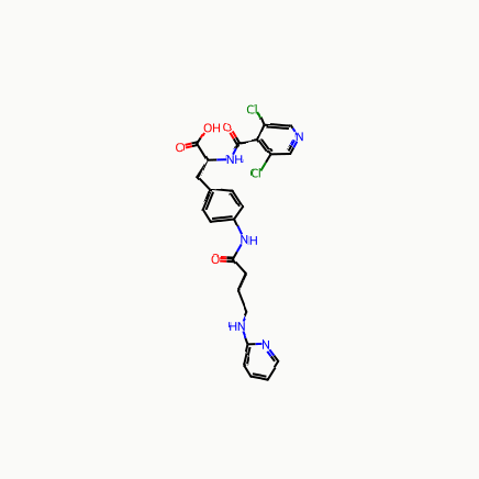 O=C(CCCNc1ccccn1)Nc1ccc(C[C@H](NC(=O)c2c(Cl)cncc2Cl)C(=O)O)cc1